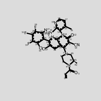 C=CC(=O)N1CCN(c2c(C#N)c(=O)n(-c3c(C)ccnc3C(C)C)c3nc(-c4c(N)c(F)c(F)c(F)c4Cl)c(Cl)cc23)C[C@H]1C